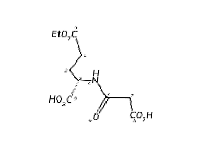 CCOC(=O)CC[C@H](NC(=O)CC(=O)O)C(=O)O